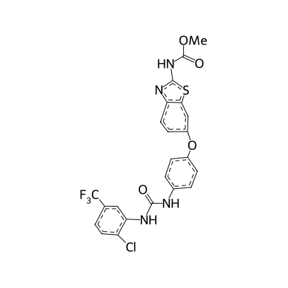 COC(=O)Nc1nc2ccc(Oc3ccc(NC(=O)Nc4cc(C(F)(F)F)ccc4Cl)cc3)cc2s1